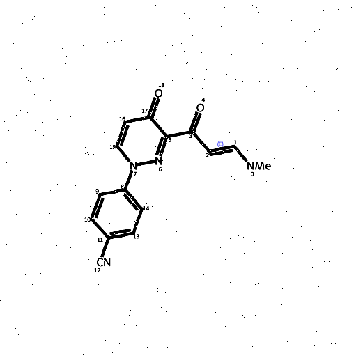 CN/C=C/C(=O)c1nn(-c2ccc(C#N)cc2)ccc1=O